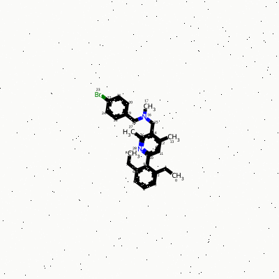 CCc1cccc(CC)c1-c1cc(C)c(CN(C)Cc2ccc(Br)cc2)c(C)n1